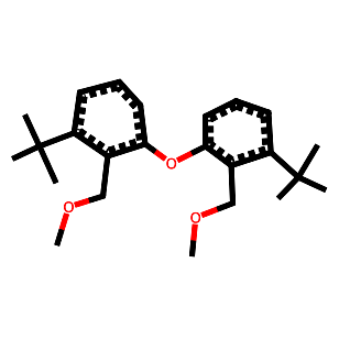 COCc1c(Oc2cccc(C(C)(C)C)c2COC)cccc1C(C)(C)C